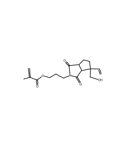 C=CC1(CO)CCC2C(=O)N(CCCOC(=O)C(=C)C)C(=O)C21